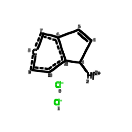 [Cl-].[Cl-].[Hf+2][CH]1C=Cc2ccccc21